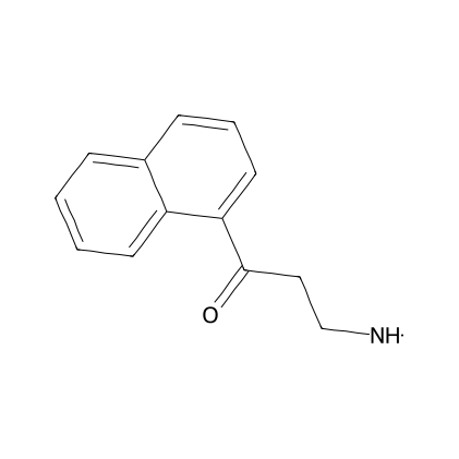 [NH]CCC(=O)c1cccc2ccccc12